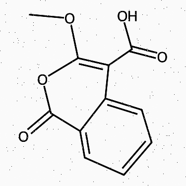 COc1oc(=O)c2ccccc2c1C(=O)O